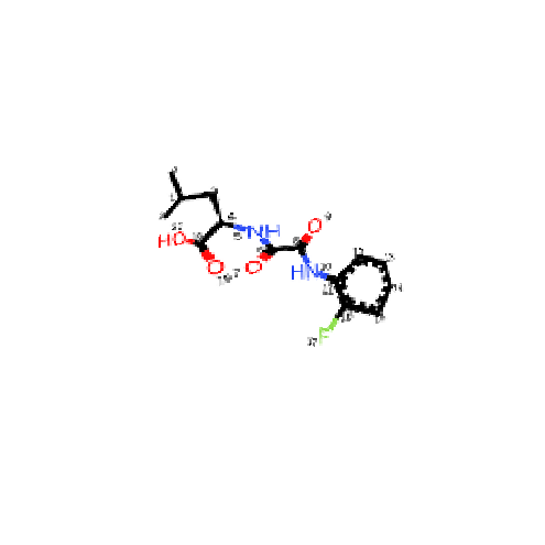 CC(C)C[C@@H](NC(=O)C(=O)Nc1ccccc1F)C(=O)O